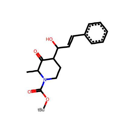 CC1C(=O)C(C(O)/C=C/c2ccccc2)CCN1C(=O)OC(C)(C)C